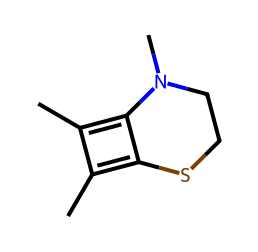 CC1=C2SCCN(C)C2=C1C